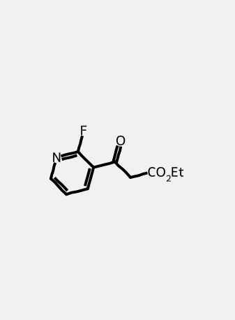 CCOC(=O)CC(=O)c1cccnc1F